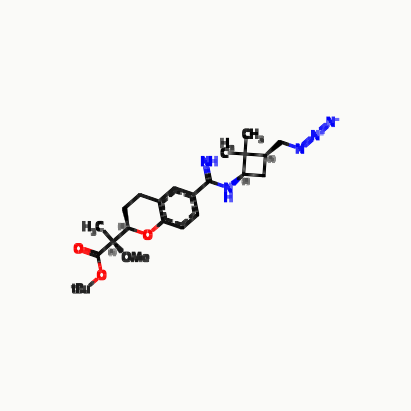 CO[C@](C)(C(=O)OC(C)(C)C)[C@H]1CCc2cc(C(=N)N[C@@H]3C[C@H](CN=[N+]=[N-])C3(C)C)ccc2O1